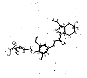 CCc1cc(CCC(=O)c2sc(CC)c3c2CCC(C)(C)C3)cc(C)c1OCCNS(=O)(=O)CC